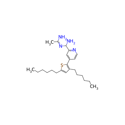 CCCCCCc1cc(CCCCCC)c(-c2ccnc(C(N)/N=C(/C)N)c2)s1